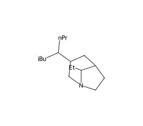 CCCC(C(C)CC)C1CC2CCN(C1)C2CC